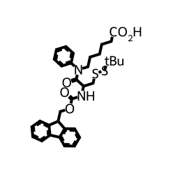 CC(C)(C)SSCC(NC(=O)OCC1c2ccccc2-c2ccccc21)C(=O)N(CCCCCC(=O)O)c1ccccc1